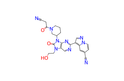 N#CCC(=O)N1CCCC(n2c(=O)n(CCO)c3cnc(-c4cnn5ccc(C#N)cc45)nc32)C1